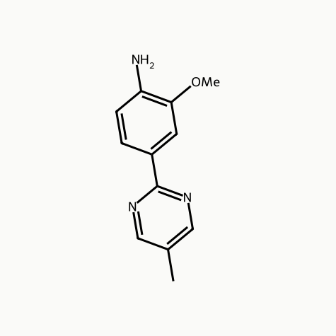 COc1cc(-c2ncc(C)cn2)ccc1N